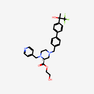 CC(O)(c1ccc(-c2ccc(CN3CCN(Cc4ccncc4)[C@H](C(=O)OCCO)C3)cc2)cc1)C(F)(F)F